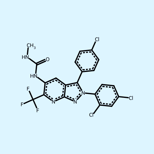 CNC(=O)Nc1cc2c(-c3ccc(Cl)cc3)n(-c3ccc(Cl)cc3Cl)nc2nc1C(F)(F)F